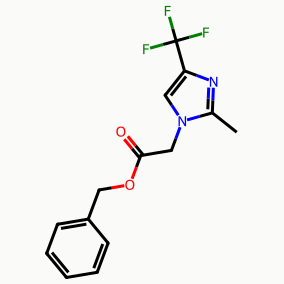 Cc1nc(C(F)(F)F)cn1CC(=O)OCc1ccccc1